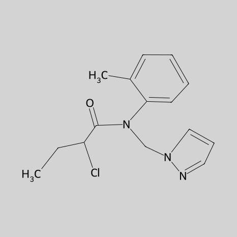 CCC(Cl)C(=O)N(Cn1cccn1)c1ccccc1C